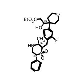 CCOC(=O)C[C@H](O)C1(c2ccc(CC3[C@H](C)NC[C@@H](c4ccccc4)S3(=O)=O)c(F)c2)CCOCC1